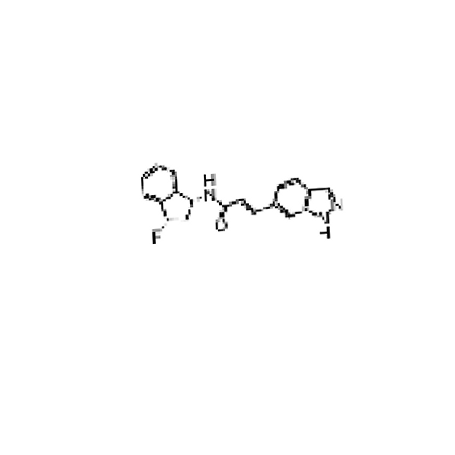 O=C(/C=C/c1ccc2cn[nH]c2c1)N[C@@H]1C[C@H](F)c2ccccc21